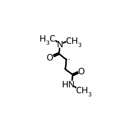 CNC(=O)C[CH]C(=O)N(C)C